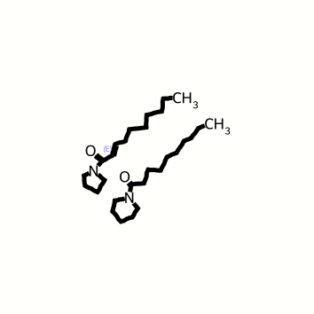 CCCCCCC/C=C/C(=O)N1CCCC1.CCCCCCCCCC(=O)N1CCCCC1